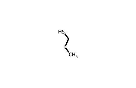 C[I]CS